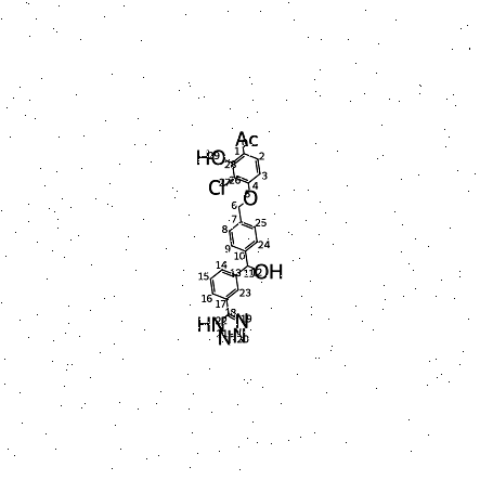 CC(=O)c1ccc(OCc2ccc(C(O)c3cccc(-c4nnn[nH]4)c3)cc2)c(Cl)c1O